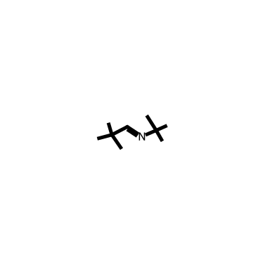 CC(C)(C)/C=N/C(C)(C)C